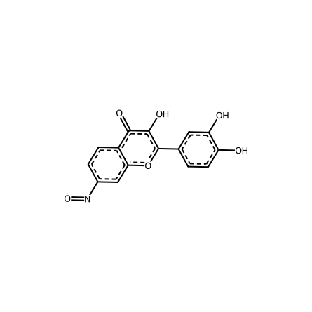 O=Nc1ccc2c(=O)c(O)c(-c3ccc(O)c(O)c3)oc2c1